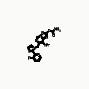 CCCc1c(Cn2ccnc2-c2ncccc2F)ncn2nc(OC(N)=O)nc12